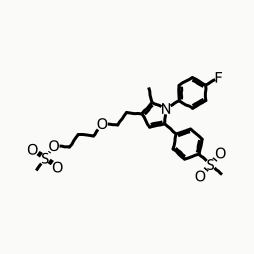 Cc1c(CCOCCCOS(C)(=O)=O)cc(-c2ccc(S(C)(=O)=O)cc2)n1-c1ccc(F)cc1